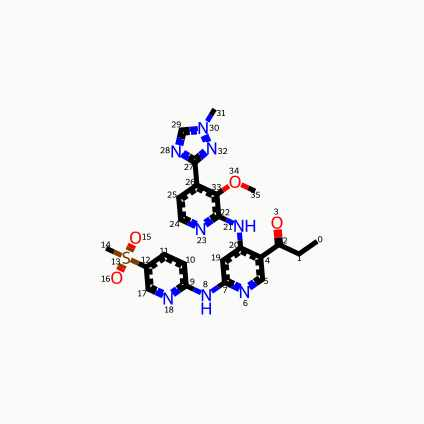 CCC(=O)c1cnc(Nc2ccc(S(C)(=O)=O)cn2)cc1Nc1nccc(-c2ncn(C)n2)c1OC